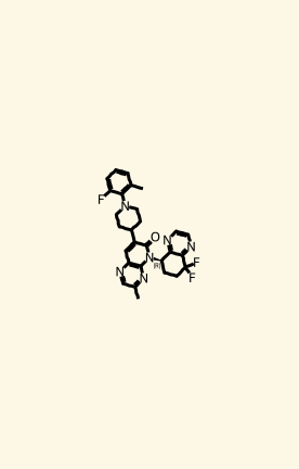 Cc1cnc2cc(C3CCN(c4c(C)cccc4F)CC3)c(=O)n([C@@H]3CCC(F)(F)c4nccnc43)c2n1